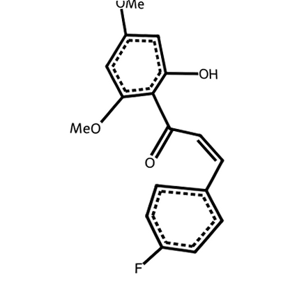 COc1cc(O)c(C(=O)/C=C\c2ccc(F)cc2)c(OC)c1